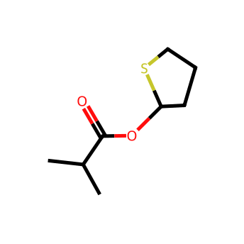 CC(C)C(=O)OC1CCCS1